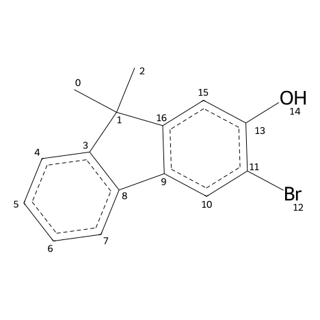 CC1(C)c2ccccc2-c2cc(Br)c(O)cc21